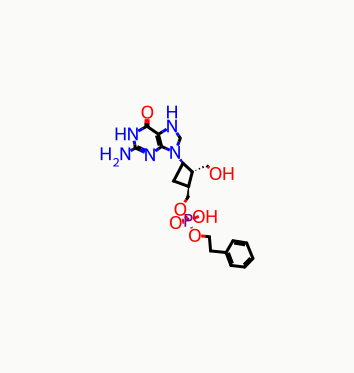 Nc1nc2c(c(=O)[nH]1)NCN2[C@@H]1C[C@H](COP(=O)(O)OCCc2ccccc2)[C@H]1CO